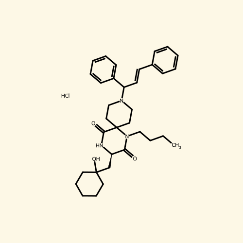 CCCCN1C(=O)[C@@H](CC2(O)CCCCC2)NC(=O)C12CCN(C(C=Cc1ccccc1)c1ccccc1)CC2.Cl